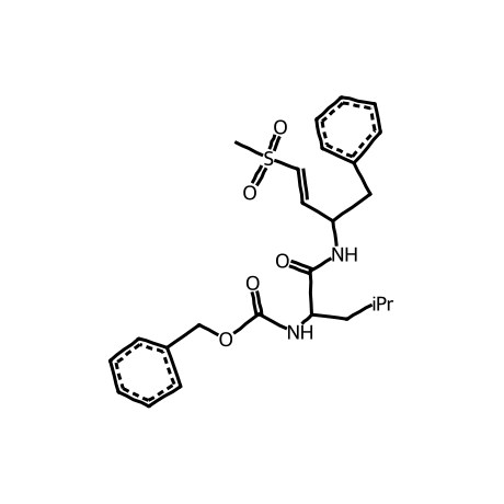 CC(C)CC(NC(=O)OCc1ccccc1)C(=O)NC(/C=C/S(C)(=O)=O)Cc1ccccc1